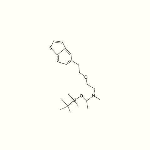 CC(O[Si](C)(C)C(C)(C)C)N(C)CCOCCc1ccc2sccc2c1